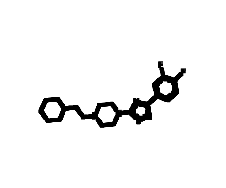 Fc1ccc(-c2nsc(N3CCN(CCC4CCCCC4)CC3)n2)cc1F